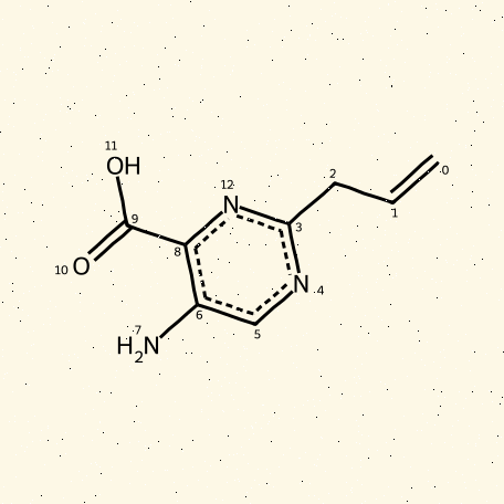 C=CCc1ncc(N)c(C(=O)O)n1